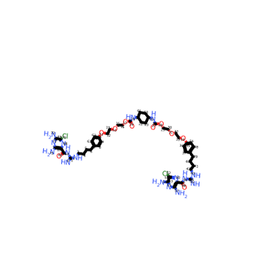 N=C(NCCCCc1ccc(OCCOCCOC(=O)NC2CCC(NC(=O)OCCOCCOc3ccc(CCCCNC(=N)NC(=O)c4nc(Cl)c(N)nc4N)cc3)CC2)cc1)NC(=O)c1nc(Cl)c(N)nc1N